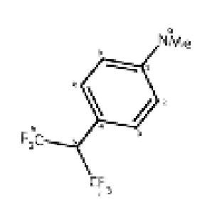 CNc1ccc(C(C(F)(F)F)C(F)(F)F)cc1